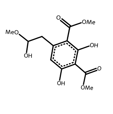 COC(=O)c1c(O)cc(CC(O)OC)c(C(=O)OC)c1O